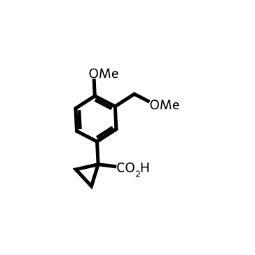 COCc1cc(C2(C(=O)O)CC2)ccc1OC